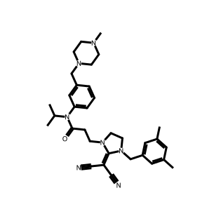 Cc1cc(C)cc(CN2CCN(CCC(=O)N(c3cccc(CN4CCN(C)CC4)c3)C(C)C)C2=C(C#N)C#N)c1